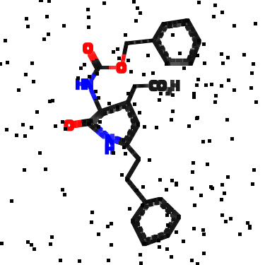 O=C(O)Cc1cc(CCc2ccccc2)[nH]c(=O)c1NC(=O)OCc1ccccc1